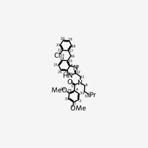 COc1ccc(C(=O)N(CCC(C)C)Cc2nc3c(Cc4ccccc4Cl)cccc3[nH]2)c(OC)c1